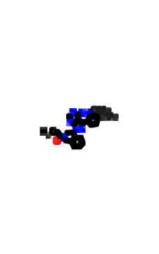 C=CC(=O)N1Cc2ccccc2C(n2nc(-c3ccc(OC)c(OC)c3)c3c(N)ncnc32)C1